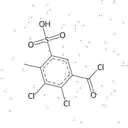 Cc1c(S(=O)(=O)O)cc(C(=O)Cl)c(Cl)c1Cl